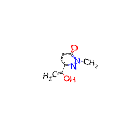 C=C(O)c1ccc(=O)n(C)n1